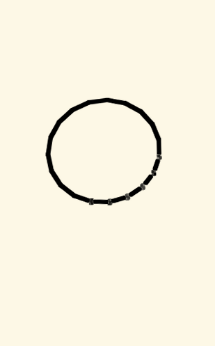 C1CCCCCCSSSSSSCCCCCC1